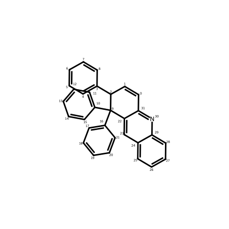 C1=CC(c2ccccc2)C(c2ccccc2)(c2ccccc2)c2cc3ccccc3nc21